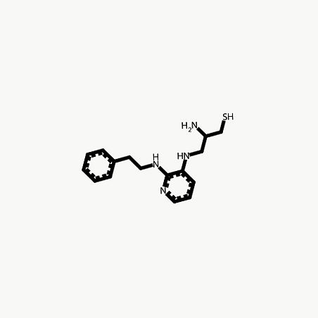 NC(CS)CNc1cccnc1NCCc1ccccc1